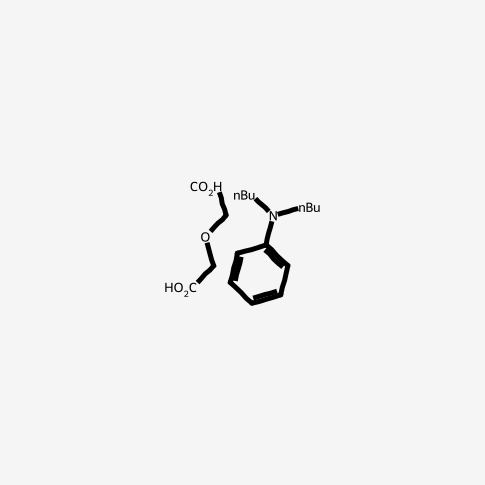 CCCCN(CCCC)c1ccccc1.O=C(O)COCC(=O)O